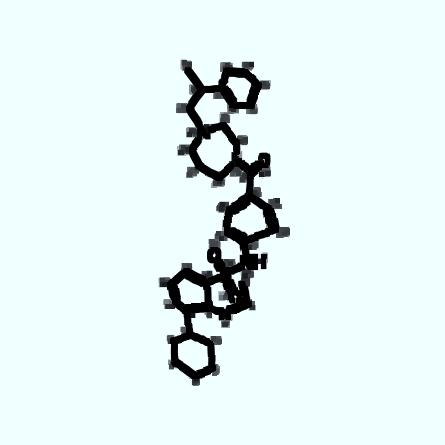 C/C=N\c1c(C2CCCCC2)cccc1S(=O)(=O)Nc1ccc(C(=O)N2CCCN(CC(C)c3ccccc3)CC2)cc1